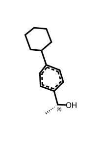 C[C@@H](O)c1ccc(C2CCCCC2)cc1